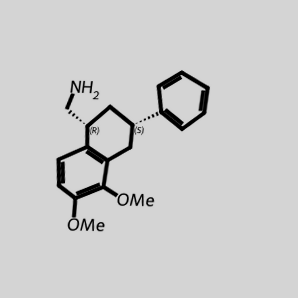 COc1ccc2c(c1OC)C[C@@H](c1ccccc1)C[C@H]2CN